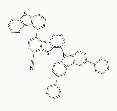 N#Cc1ccc(-c2cccc3sc4ccccc4c23)c2c1sc1c(-n3c4ccc(-c5ccccc5)cc4c4cc(-c5ccccc5)ccc43)cccc12